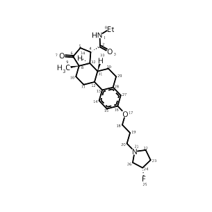 CCNC(=O)[C@H]1CC(=O)[C@@]2(C)CCC3c4ccc(OCCCN5CC[C@H](F)C5)cc4CC[C@H]3[C@H]12